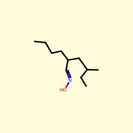 CCCCC(C=NO)CC(C)CC